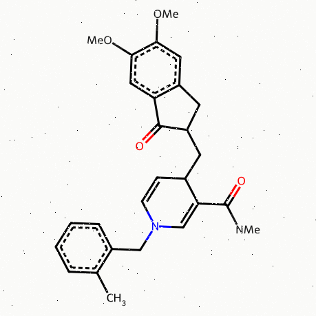 CNC(=O)C1=CN(Cc2ccccc2C)C=CC1CC1Cc2cc(OC)c(OC)cc2C1=O